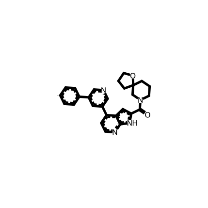 O=C(c1cc2c(-c3cncc(-c4cc[c]cc4)c3)ccnc2[nH]1)N1CCCC2(CCCO2)C1